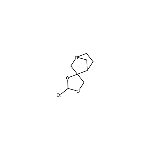 CCC1OCC2(CN3CCC2C3)O1